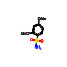 COc1ccc(S(N)(=O)=O)c(OC)c1